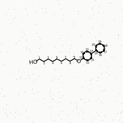 OCCCCCCCCCOc1ccc(-c2ccccc2)cc1